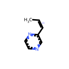 C/C=C\c1cnccn1